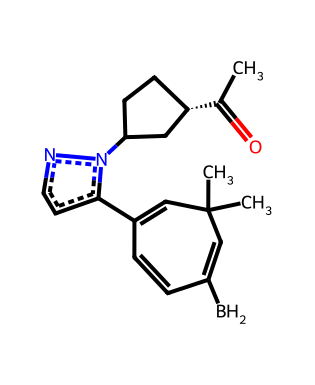 BC1=CC(C)(C)C=C(c2ccnn2C2CC[C@H](C(C)=O)C2)C=C1